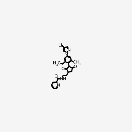 CCc1cc(-n2cc(Cl)cn2)cc(C)c1C1C(=O)CC(CCNC(=O)c2ccccn2)C1=O